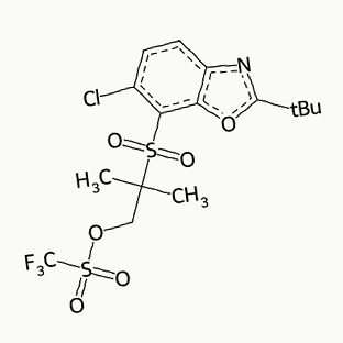 CC(C)(C)c1nc2ccc(Cl)c(S(=O)(=O)C(C)(C)COS(=O)(=O)C(F)(F)F)c2o1